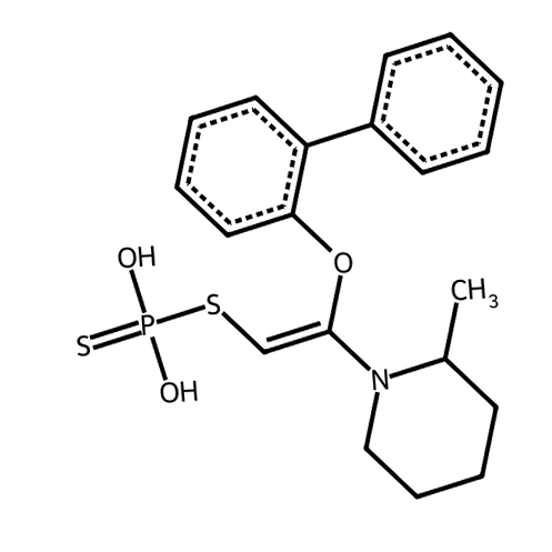 CC1CCCCN1C(=CSP(O)(O)=S)Oc1ccccc1-c1ccccc1